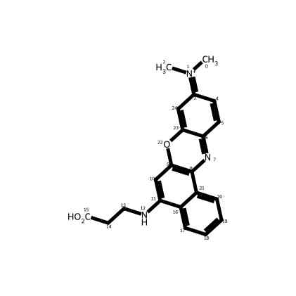 C[N+](C)=c1ccc2nc3c(cc(NCCC(=O)O)c4ccccc43)oc-2c1